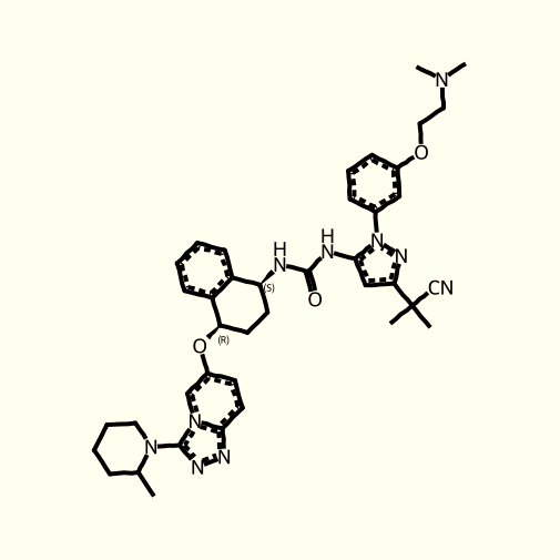 CC1CCCCN1c1nnc2ccc(O[C@@H]3CC[C@H](NC(=O)Nc4cc(C(C)(C)C#N)nn4-c4cccc(OCCN(C)C)c4)c4ccccc43)cn12